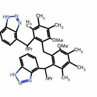 CCCC(c1c(C)c(C)c(C)c(OC)c1Cc1c(OC)c(C)c(C)c(C)c1C(CCC)c1cccc2[nH]nnc12)c1cccc2[nH]nnc12